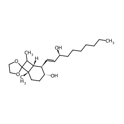 CCCCCCC[C@H](O)/C=C/[C@H]1[C@H](O)CC[C@@]2(C)[C@@H]1C(C)C21OCCO1